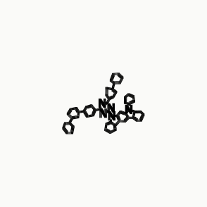 c1ccc(-c2ccc(-c3nc(-c4ccc(-c5cccc(-c6ccccc6)c5)cc4)nc(-n4c5ccccc5c5cc6c7ccccc7n(-c7ccccc7)c6cc54)n3)cc2)cc1